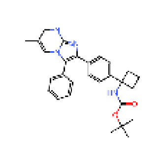 Cc1cnc2nc(-c3ccc(C4(NC(=O)OC(C)(C)C)CCC4)cc3)c(-c3ccccc3)n2c1